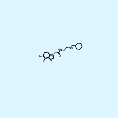 O=C(Cn1cnc2c(F)c(F)ccc21)NCCNCC1CCCCC1